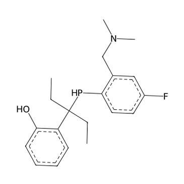 CCC(CC)(Pc1ccc(F)cc1CN(C)C)c1ccccc1O